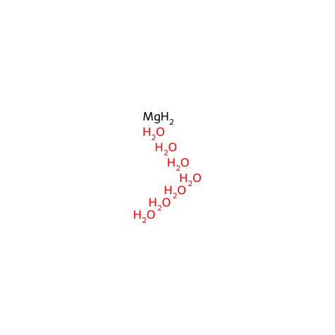 O.O.O.O.O.O.O.[MgH2]